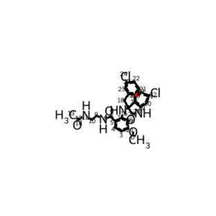 COc1ccc(C(=O)NCCNC(C)=O)c(NC2(Cc3cccc(Cl)c3)C(=O)Nc3cc(Cl)ccc32)c1